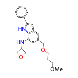 COCCCOCc1cc(NC2COC2)c2[nH]c(-c3ccccc3)cc2c1